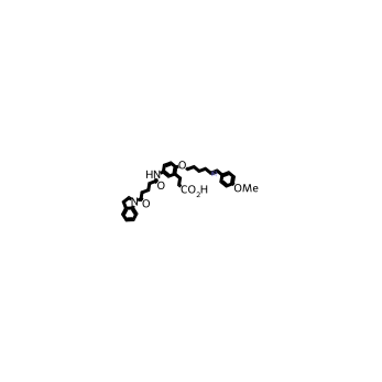 COc1ccc(/C=C/CCCCOc2ccc(NC(=O)CCCC(=O)N3CCc4ccccc43)cc2CCC(=O)O)cc1